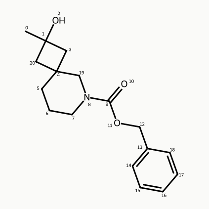 CC1(O)CC2(CCCN(C(=O)OCc3ccccc3)C2)C1